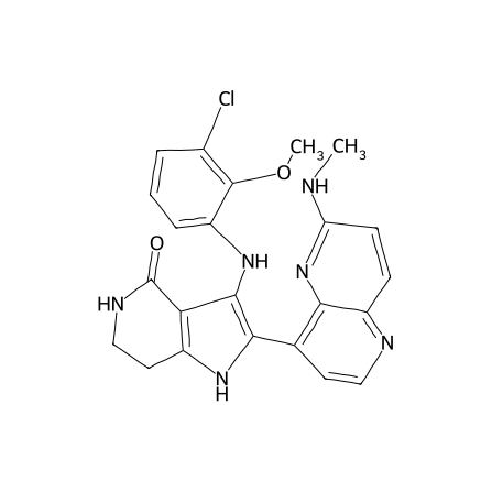 CNc1ccc2nccc(-c3[nH]c4c(c3Nc3cccc(Cl)c3OC)C(=O)NCC4)c2n1